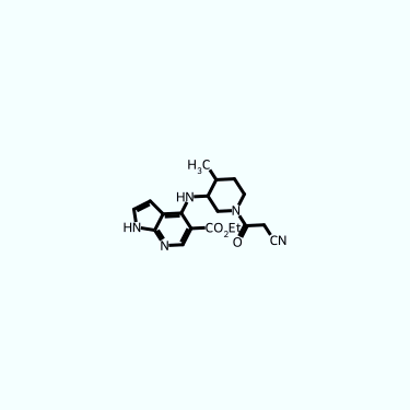 CCOC(=O)c1cnc2[nH]ccc2c1NC1CN(C(=O)CC#N)CCC1C